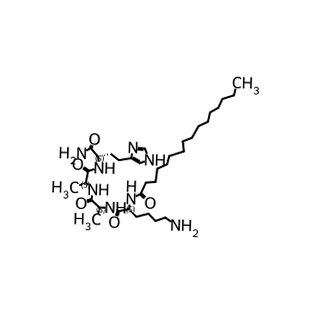 CCCCCCCCCCCCCCCC(=O)N[C@@H](CCCCN)C(=O)N[C@@H](C)C(=O)N[C@@H](C)C(=O)N[C@@H](CCc1c[nH]cn1)C(N)=O